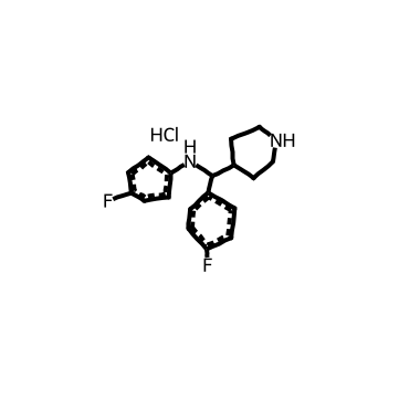 Cl.Fc1ccc(NC(c2ccc(F)cc2)C2CCNCC2)cc1